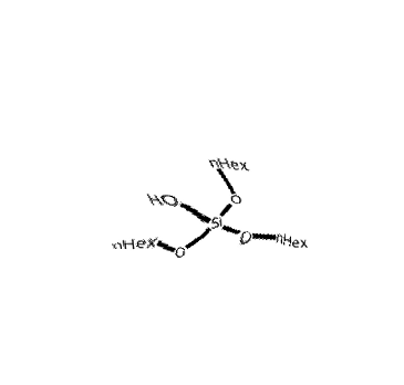 CCCCCCO[Si](O)(OCCCCCC)OCCCCCC